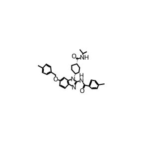 Cc1ccc(COc2ccc3nc(NC(=O)c4ccc(C)cc4)n([C@H]4CC[C@@H](C(=O)NC(C)C)CC4)c3c2)cc1